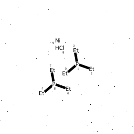 CCP(CC)CC.CCP(CC)CC.Cl.[Ni]